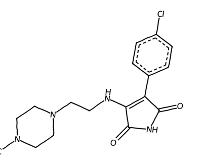 CN1CCN(CCNC2=C(c3ccc(Cl)cc3)C(=O)NC2=O)CC1